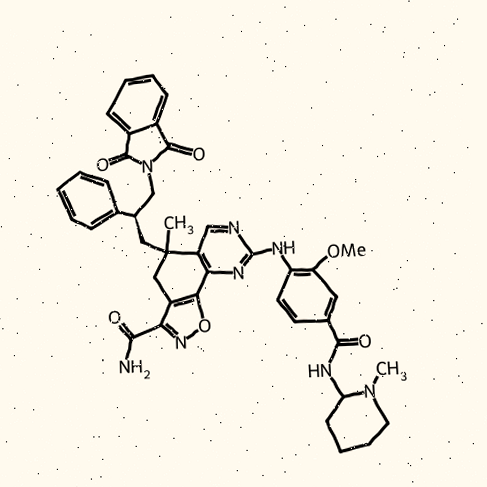 COc1cc(C(=O)NC2CCCCN2C)ccc1Nc1ncc2c(n1)-c1onc(C(N)=O)c1CC2(C)C[C@H](CN1C(=O)c2ccccc2C1=O)c1ccccc1